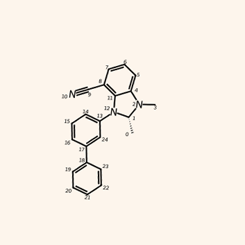 C[C@H]1N(C)c2cccc(C#N)c2N1c1cccc(-c2ccccc2)c1